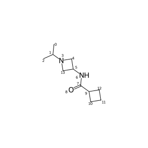 CC(C)N1CC(NC(=O)C2CCC2)C1